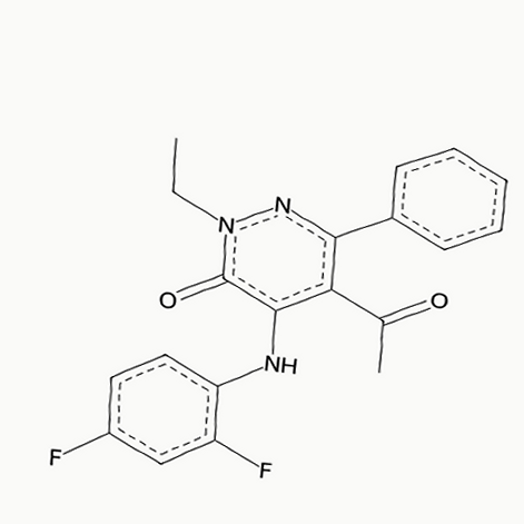 CCn1nc(-c2ccccc2)c(C(C)=O)c(Nc2ccc(F)cc2F)c1=O